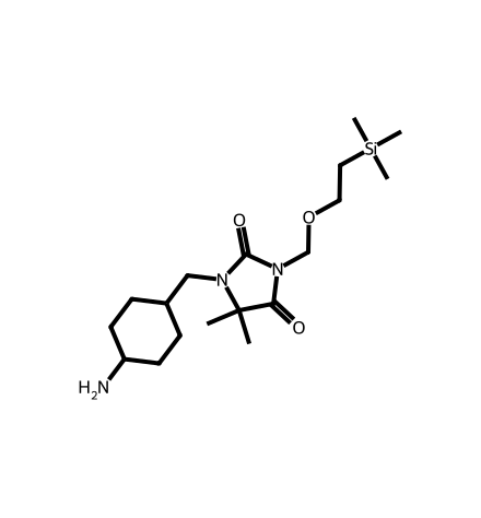 CC1(C)C(=O)N(COCC[Si](C)(C)C)C(=O)N1CC1CCC(N)CC1